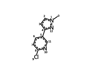 Cn1ccc(-c2ccc(Cl)nc2)n1